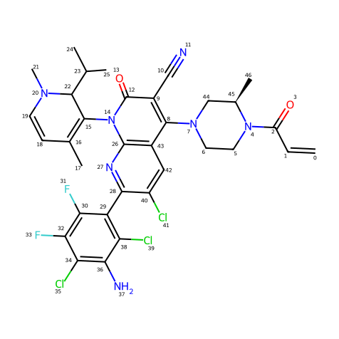 C=CC(=O)N1CCN(c2c(C#N)c(=O)n(C3=C(C)C=CN(C)C3C(C)C)c3nc(-c4c(F)c(F)c(Cl)c(N)c4Cl)c(Cl)cc23)C[C@H]1C